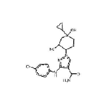 N#CC1CC(O)(C2CC2)CCC1n1cc(C(N)=O)c(Nc2ccc(Cl)cc2)n1